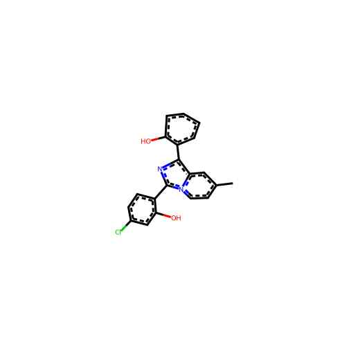 Cc1ccn2c(-c3ccc(Cl)cc3O)nc(-c3ccccc3O)c2c1